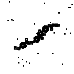 CCOc1ccc(C(=O)NCCc2ccc(S(=O)(=O)NC(=O)c3ccc(OC(=O)OC)nc3)cc2)cc1